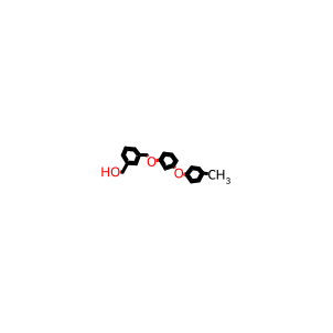 Cc1ccc(Oc2cccc(OCc3cccc(CO)c3)c2)cc1